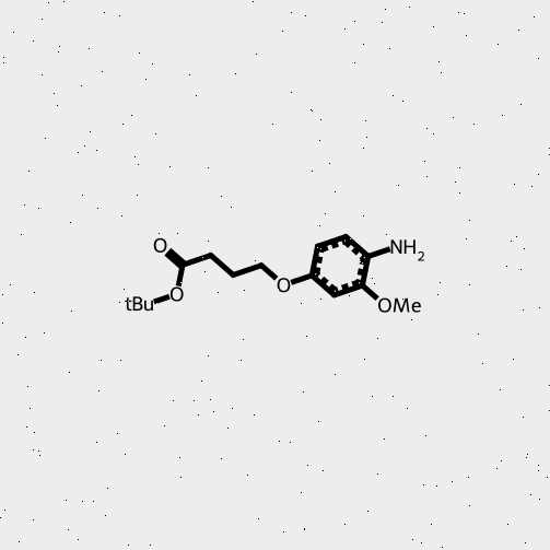 COc1cc(OCCCC(=O)OC(C)(C)C)ccc1N